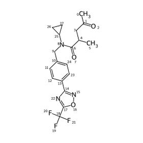 CC(=O)CC(C)C(=O)N(Cc1ccc(-c2noc(C(F)(F)F)n2)cc1)C1CC1